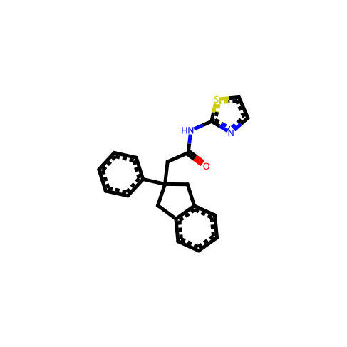 O=C(CC1(c2ccccc2)Cc2ccccc2C1)Nc1nccs1